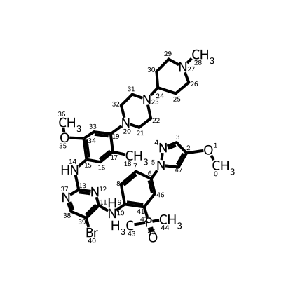 COc1cnn(-c2ccc(Nc3nc(Nc4cc(C)c(N5CCN(C6CCN(C)CC6)CC5)cc4OC)ncc3Br)c(P(C)(C)=O)c2)c1